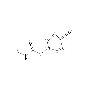 CNC(=O)Cn1ccc(=O)cc1